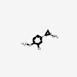 COc1ccc([C@@H]2C[C@H]2N)cc1Cl